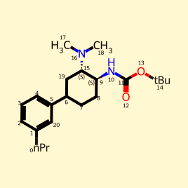 CCCc1cccc(C2CC[C@H](NC(=O)OC(C)(C)C)[C@@H](N(C)C)C2)c1